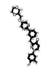 O=c1ccn(-c2ccc(F)c(F)c2)nc1Cc1cccc(-c2ncc(OCC3COCCO3)cn2)c1